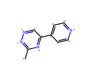 Cc1nncc(-c2ccncc2)n1